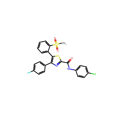 CS(=O)(=O)c1ccccc1-c1sc(C(=O)Nc2ccc(Cl)cc2)nc1-c1ccc(F)cc1